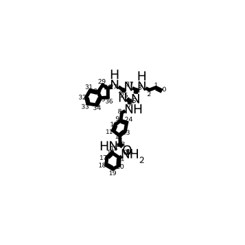 C=CCNc1nc(NCc2ccc(C(=O)Nc3ccccc3N)cc2)nc(NC2Cc3ccccc3C2)n1